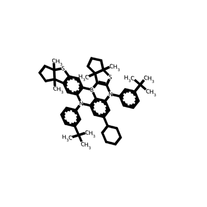 CC(C)(C)c1cccc(N2C3=C(B4c5cc6c(cc5N(c5cccc(C(C)(C)C)c5)c5cc(C7CCCCC7)cc2c54)C2(C)CCCC2(C)S6)C2(C)CCCC2(C)S3)c1